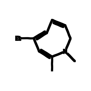 CCC1=C\C=C/CN(C)/C(C)=C\1